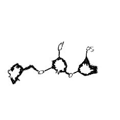 FC(F)(F)c1cccc(Oc2cc(Cl)cc(OCc3ccsc3)n2)c1